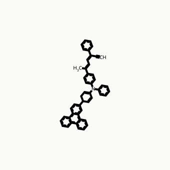 C#C/C(=C\C=C(/C)c1ccc(N(C2=CCC(c3ccc4c5ccccc5c5ccccc5c4c3)C=C2)c2ccccc2)cc1)c1ccccc1